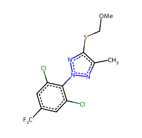 COCSc1nn(-c2c(Cl)cc(C(F)(F)F)cc2Cl)nc1C